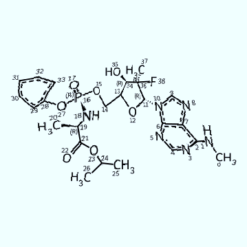 CNc1ncnc2c1ncn2[C@@H]1OC(CO[P@](=O)(N[C@H](C)C(=O)OC(C)C)Oc2ccccc2)[C@@H](O)[C@@]1(C)F